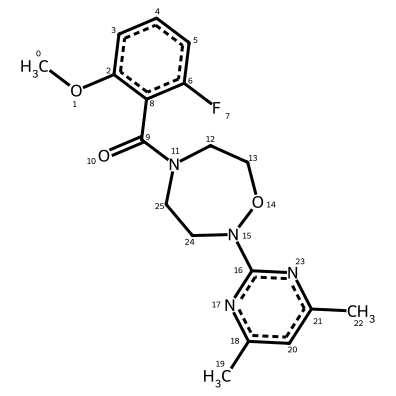 COc1cccc(F)c1C(=O)N1CCON(c2nc(C)cc(C)n2)CC1